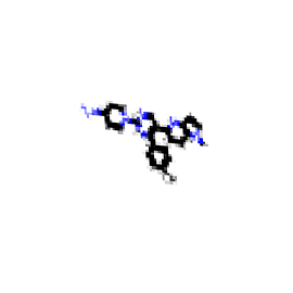 Cn1ccc2nc(-c3cnc(N4CCC(N)CC4)nc3-c3ccc(C#N)cc3)ccc21